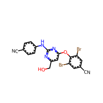 N#Cc1ccc(Nc2nc(CO)cc(Oc3c(Br)cc(C#N)cc3Br)n2)cc1